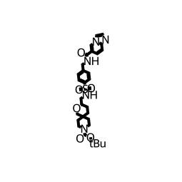 CC(C)(C)OC(=O)N1CCC2(CCC(CNS(=O)(=O)c3ccc(CNC(=O)c4ccc5nccn5c4)cc3)OC2)CC1